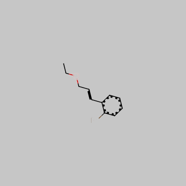 [CH2]COCC=Cc1ccccc1Br